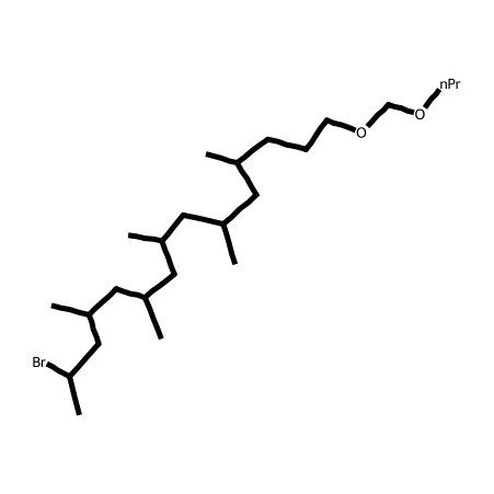 CCCOCOCCCC(C)CC(C)CC(C)CC(C)CC(C)CC(C)Br